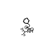 CSC(NS(=O)(=O)Cc1ccccc1)SC